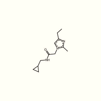 CCc1cn(CC(=O)NCC2CC2)c(C)n1